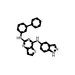 c1ccc(-c2cccc(Nc3nc(Nc4ccc5[nH]ncc5c4)c4sccc4n3)c2)cc1